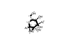 CC(=O)O[C@@]1(C(C)=O)O[C@H](CO)[C@@H](O)[C@@](O)(C(C)=O)[C@@]1(OC(C)=O)C(C)=O